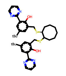 CC(C)(C)c1cc(CSC2CCCCCC[C@@H]2SCc2cc(C(C)(C)C)cc(-c3ncccn3)c2O)c(O)c(-c2ncccn2)c1